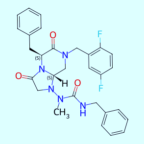 CN(C(=O)NCc1ccccc1)N1CC(=O)N2[C@@H](Cc3ccccc3)C(=O)N(Cc3cc(F)ccc3F)C[C@@H]21